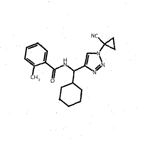 Cc1ccccc1C(=O)NC(c1cn(C2(C#N)CC2)nn1)C1CCCCC1